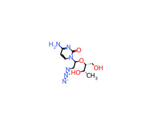 C[C@H](O)[C@@H](CO)OC(CN=[N+]=[N-])n1ccc(N)nc1=O